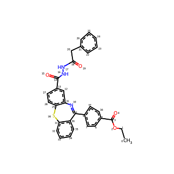 CCOC(=O)c1ccc(C2=Nc3cc(C(=O)NNC(=O)Cc4ccccc4)ccc3Sc3ccccc32)cc1